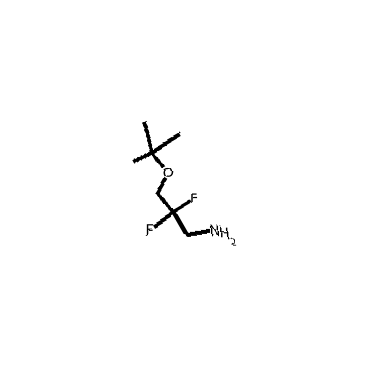 CC(C)(C)OCC(F)(F)CN